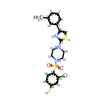 Cc1cccc(-c2csc(N3CCN(S(=O)(=O)c4ccc(F)cc4Cl)CC3)n2)c1